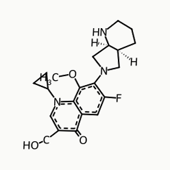 COc1c(N2C[C@@H]3CCCN[C@@H]3C2)c(F)cc2c(=O)c(CO)cn(C3CC3)c12